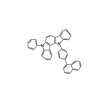 c1ccc(-n2c3ccccc3c3c2ccc2c4ccccc4n(-c4ccc(-c5cccc6ccccc56)cc4)c23)cc1